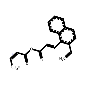 C=Cc1ccc2ccccc2c1C=CC(=O)OC(=O)/C=C\C(=O)O